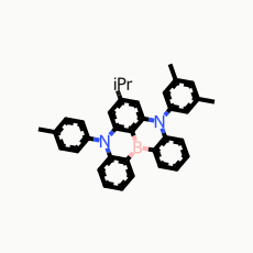 Cc1ccc(N2c3ccccc3B3c4ccccc4N(c4cc(C)cc(C)c4)c4cc(C(C)C)cc2c43)cc1